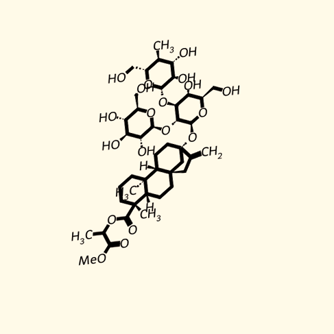 C=C1C[C@@]23CC[C@H]4[C@@](C)(CCC[C@@]4(C)C(=O)OC(C)C(=O)OC)[C@@H]2CC[C@]1(O[C@@H]1O[C@H](CO)[C@@H](O)[C@H](O[C@@H]2O[C@H](CO)[C@@H](C)[C@H](O)[C@H]2O)[C@H]1O[C@@H]1O[C@H](CO)[C@@H](O)[C@H](O)[C@H]1O)C3